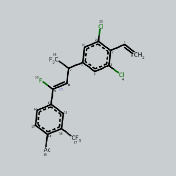 C=Cc1c(Cl)cc(C(/C=C(\F)c2ccc(C(C)=O)c(C(F)(F)F)c2)C(F)(F)F)cc1Cl